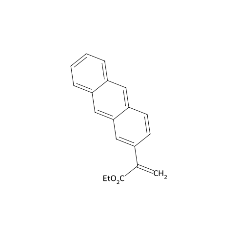 C=C(C(=O)OCC)c1ccc2cc3ccccc3cc2c1